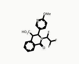 COc1ccc(C2C(C(=O)O)c3ccccc3C(=O)N2C(F)C(F)F)cn1